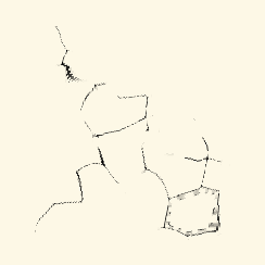 CCCCC(O)[C@H]1O[C@@H](CCC)OC[C@H]1OCc1ccccc1C(F)(F)F